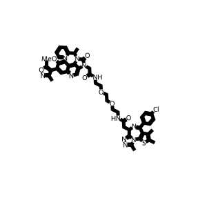 COc1cc2c(cc1-c1c(C)noc1C)ncc1c2n(C(C)c2ccccn2)c(=O)n1CC(=O)NCCOCCOCCNC(=O)CC1N=C(c2ccc(Cl)cc2)c2c(sc(C)c2C)-n2c(C)nnc21